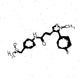 Cn1ncc(C=CC(=O)Nc2ccc(C[S+](C)[O-])cc2)c1-c1ccc(F)cc1